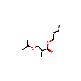 CCCCOC(=O)C(C)COC(C)C